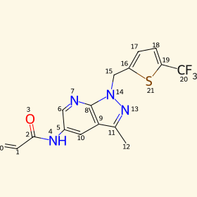 C=CC(=O)Nc1cnc2c(c1)c(C)nn2Cc1ccc(C(F)(F)F)s1